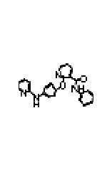 O=C(Nc1ccccc1)c1cccnc1Oc1ccc(Nc2ccccn2)cc1